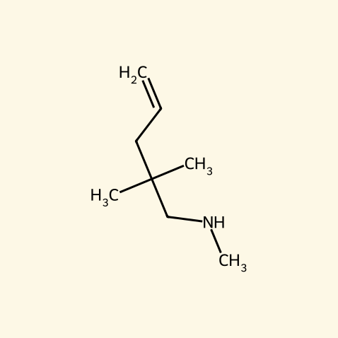 C=CCC(C)(C)CNC